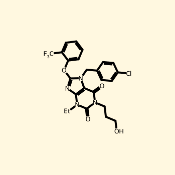 CCn1c(=O)n(CCCO)c(=O)c2c1nc(Oc1ccccc1C(F)(F)F)n2Cc1ccc(Cl)cc1